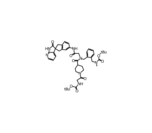 CN(Cc1ccccc1CN(CC(=O)Nc1ccc2c(c1)CC1(C2)C(=O)Nc2ncccc21)C(=O)C1CCN(C(=O)CNC(=O)OC(C)(C)C)CC1)C(=O)OC(C)(C)C